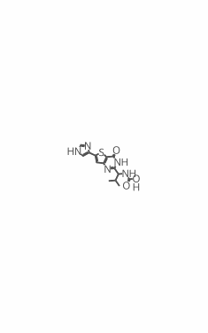 CC(C)C(NC(=O)O)c1nc2cc(-c3c[nH]cn3)sc2c(=O)[nH]1